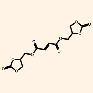 O=C(C=CC(=O)OCC1COC(=O)O1)OCC1COC(=O)O1